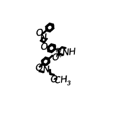 COCCCN1CCOc2ccc(CO[C@H]3CNCC[C@@H]3c3ccc(OC4CN(C(=O)c5ccccc5)C4)cc3)cc21